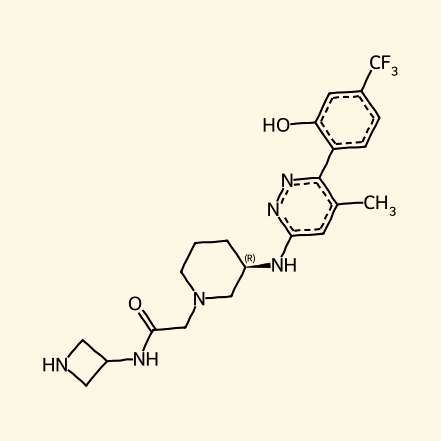 Cc1cc(N[C@@H]2CCCN(CC(=O)NC3CNC3)C2)nnc1-c1ccc(C(F)(F)F)cc1O